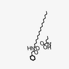 CCCC(C(=O)O)N(C)C.CCCCCCCCCCCCCCCCCC(=O)NC(=O)Cc1ccccc1